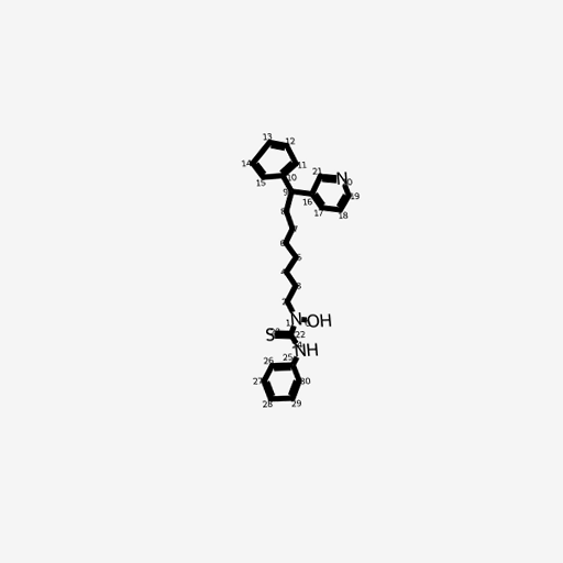 ON(CCCCCCCC(c1ccccc1)c1cccnc1)C(=S)Nc1ccccc1